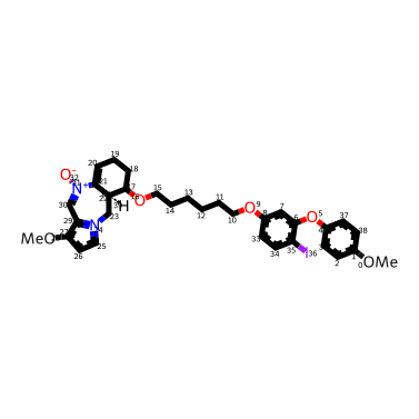 COc1ccc(Oc2cc(OCCCCCCOC3CCC=C4[C@@H]3Cn3ccc(OC)c3C=[N+]4[O-])ccc2I)cc1